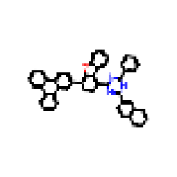 C1=Cc2cc(-c3nc(-c4ccccc4)nc(-c4ccc(-c5ccc6c7ccccc7c7ccccc7c6c5)c5oc6ccccc6c45)n3)ccc2CC1